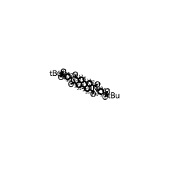 CC(C)(C)S(=O)(=O)c1ccc(N2C(=O)c3ccc4c5ccc6c7c(ccc(c8ccc(c3c48)C2=O)c75)C(=O)N(c2ccc(S(=O)(=O)C(C)(C)C)cc2)C6=O)cc1